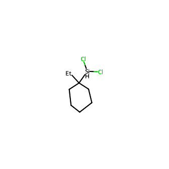 CCC1([SiH](Cl)Cl)CCCCC1